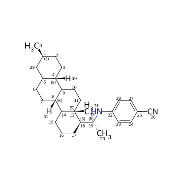 C[C@H]1CC[C@H]2C(CC[C@@H]3C2CC[C@@]2(C)C3CCC[C@@H]2[C@@H](C)Nc2ccc(C#N)cc2)C1